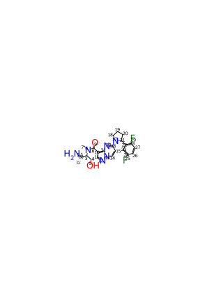 C[C@H](N)C(CO)N(C)C(=O)c1cnn2ccc(N3CCCC3c3cc(F)ccc3F)nc12